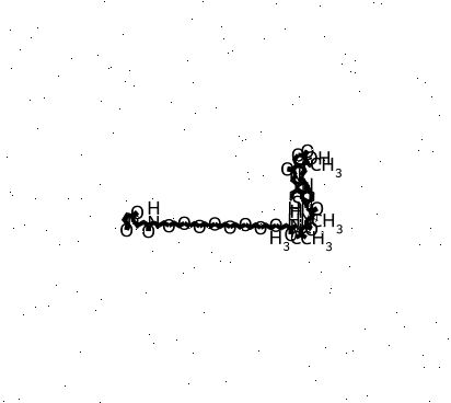 CC[C@@]1(O)C(=O)OCc2c1cc1n(c2=O)Cc2c-1nc1ccc(NC(=O)[C@H](C)NC(=O)[C@@H](NC(=O)CCOCCOCCOCCOCCOCCOCCOCCOCCNC(=O)CCN3C(=O)C=CC3=O)C(C)C)c3c1c2CCS3